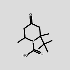 CC1CC(=O)CC(C)(C(C)(C)C)N1C(=O)O